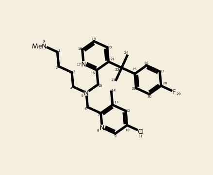 CNCCCCN(Cc1ncc(Cl)cc1C)Cc1ncccc1C(C)(C)c1ccc(F)cc1